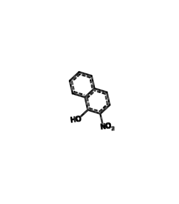 O=[N+]([O-])c1ccc2ccccc2c1O